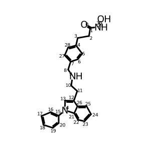 O=C(CCc1ccc(CNCCc2cn(-c3ccccc3)c3ccccc23)cc1)NO